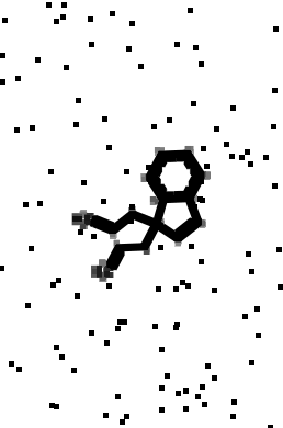 C=CCC1(CC=C)C=Cc2ccccc21